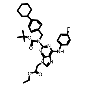 CCOC(=O)Cn1cnc2c(Nc3ccc(F)cc3)nc(N(Cc3ccc(C4CCCCC4)cc3)C(=O)OC(C)(C)C)nc21